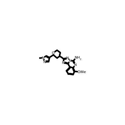 COc1cccc2c1nc(N)n1nc(C3CCOC(c4cnn(C)c4)C3)nc21